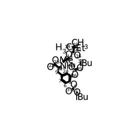 CCC(C)OC(=O)Oc1ccc(C[C@H](NCCOC(=O)C(C)(C)CC)C(=O)OC)cc1OC(=O)OC(C)CC